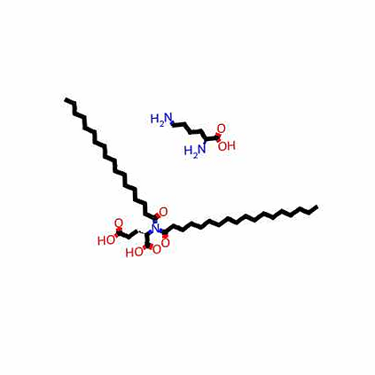 CCCCCCCCCCCCCCCCCC(=O)N(C(=O)CCCCCCCCCCCCCCCCC)[C@@H](CCC(=O)O)C(=O)O.NCCCC[C@H](N)C(=O)O